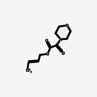 O=C(OC/C=C/C(F)(F)F)C(=O)N1CCOCC1